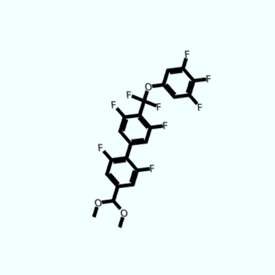 COC(OC)c1cc(F)c(-c2cc(F)c(C(F)(F)Oc3cc(F)c(F)c(F)c3)c(F)c2)c(F)c1